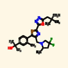 Cc1cc(C(O)(C(F)(F)F)C(F)(F)F)ccc1-c1sc(-c2nnc(CC(C)(C)C(=O)O)o2)nc1CN1CC(F)(F)CC1C